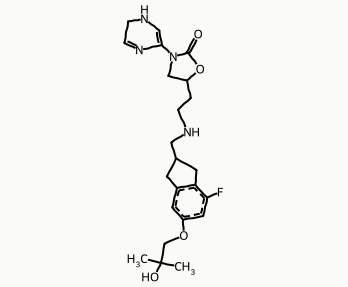 CC(C)(O)COc1cc(F)c2c(c1)CC(CNCCC1CN(C3=CNCC=N3)C(=O)O1)C2